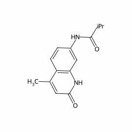 Cc1cc(=O)[nH]c2cc(NC(=O)C(C)C)ccc12